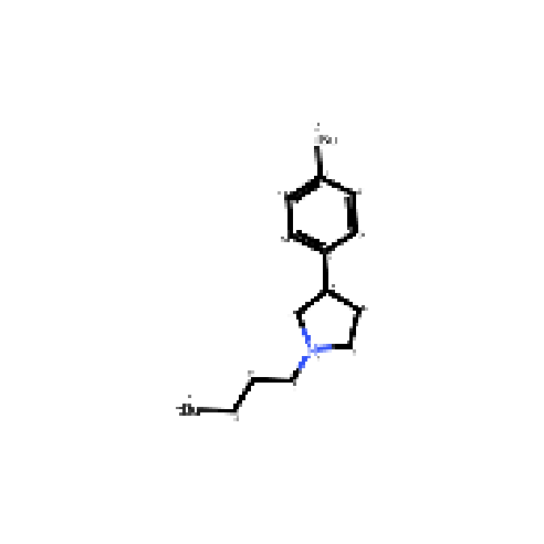 CC(C)(C)CCCN1CCC(c2ccc(C(C)(C)C)cc2)C1